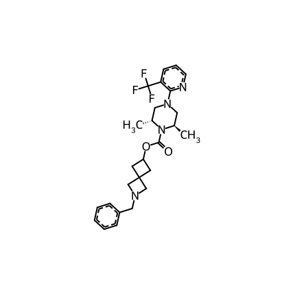 C[C@@H]1CN(c2ncccc2C(F)(F)F)C[C@@H](C)N1C(=O)OC1CC2(C1)CN(Cc1ccccc1)C2